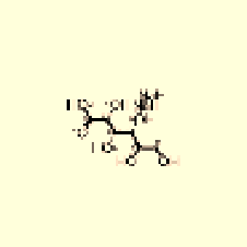 O=C(O)[C@H](O)[C@@H](O)[C@H](O)[C@H](O)CO.[NaH].[NaH]